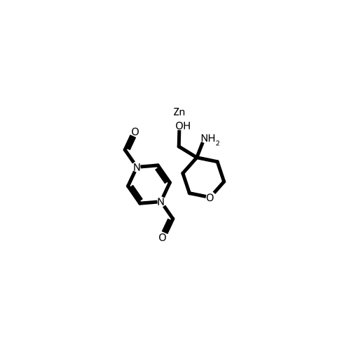 NC1(CO)CCOCC1.O=CN1C=CN(C=O)C=C1.[Zn]